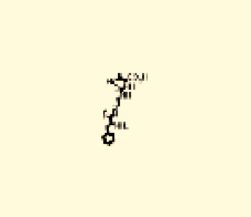 C=N/C(=N\OCCNC(=O)NC(C(=O)O)C(C)O)C(N)Cc1ccccc1